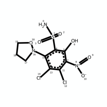 NS(=O)(=O)c1c(O)c([N+](=O)[O-])c(Cl)c(Cl)c1N1CCCO1